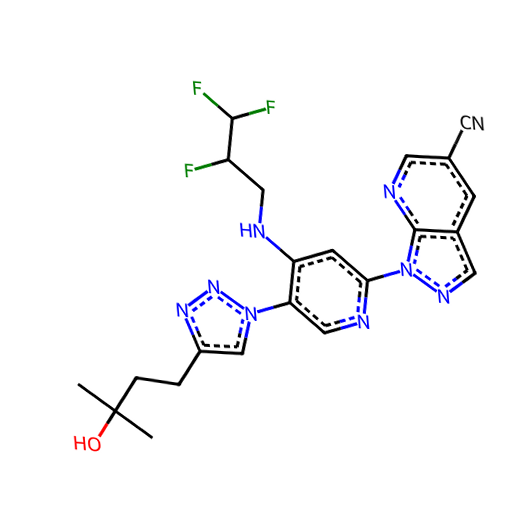 CC(C)(O)CCc1cn(-c2cnc(-n3ncc4cc(C#N)cnc43)cc2NCC(F)C(F)F)nn1